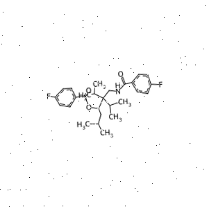 CC(C)CC(OC(=O)c1ccc(F)cc1)C(CNC(=O)c1ccc(F)cc1)(C(C)C)C(C)C